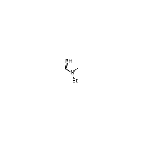 B=CN(C)CC